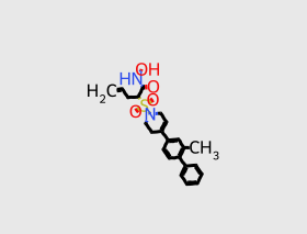 C=CCC(C(=O)NO)S(=O)(=O)N1CC=C(c2ccc(-c3ccccc3)c(C)c2)CC1